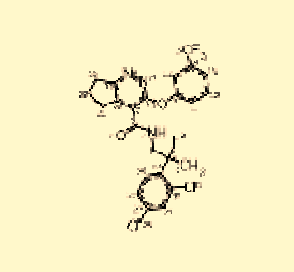 CC(F)(CNC(=O)c1c(Oc2cccc(C(F)(F)F)c2)nnc2c1CCC2)c1ccc(Cl)cc1Cl